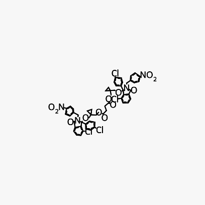 O=C(CCC(=O)OCC1(COC2(c3ccc(Cl)cc3)c3c(Cl)cccc3C(=O)N2Cc2ccc([N+](=O)[O-])cc2)CC1)OCC1(COC2(c3ccc(Cl)cc3)c3c(Cl)cccc3C(=O)N2Cc2ccc([N+](=O)[O-])cc2)CC1